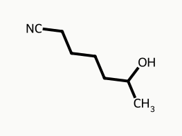 CC(O)CCCCC#N